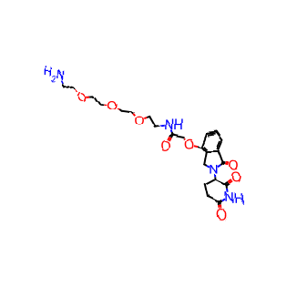 NCCOCCOCCOCCNC(=O)COc1cccc2c1CN(C1CCC(=O)NC1=O)C2=O